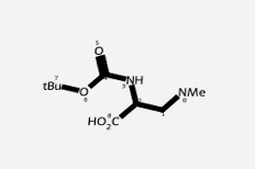 CNCC(NC(=O)OC(C)(C)C)C(=O)O